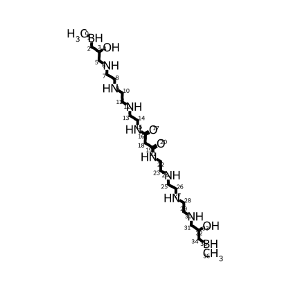 CBCC(O)CNCCNCCNCCNC(=O)CC(=O)NCCNCCNCCNCC(O)CBC